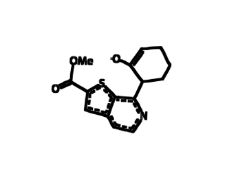 COC(=O)c1cc2ccnc(C3CCCC=C3[O])c2s1